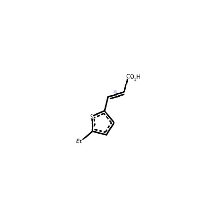 CCc1ccc(/C=C/C(=O)O)s1